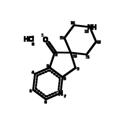 Cl.O=C1c2cccnc2CC12CCNCC2